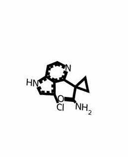 NC(=O)C1(c2nccc3[nH]cc(Cl)c23)CC1